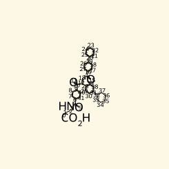 O=C(O)CCNC(=O)c1ccc(C(=O)C(=CC(=O)c2ccc(-c3ccccc3)cc2)c2ccc(C3CCCCC3)cc2)cc1